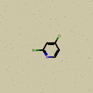 Clc1ccnc(Br)c1